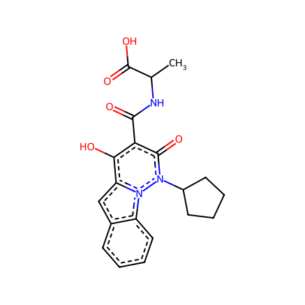 CC(NC(=O)c1c(O)c2cc3ccccc3n2n(C2CCCC2)c1=O)C(=O)O